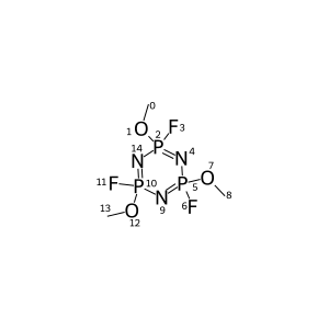 COP1(F)=NP(F)(OC)=NP(F)(OC)=N1